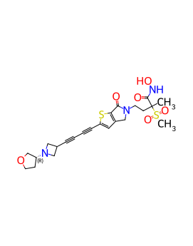 CC(CCN1Cc2cc(C#CC#CC3CN([C@@H]4CCOC4)C3)sc2C1=O)(C(=O)NO)S(C)(=O)=O